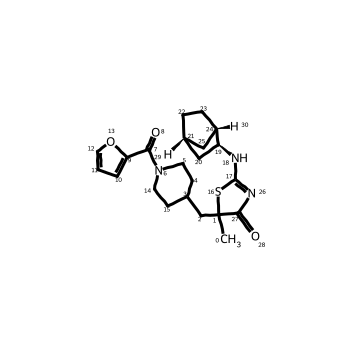 CC1(CC2CCN(C(=O)c3ccco3)CC2)SC(N[C@H]2C[C@@H]3CC[C@H]2C3)=NC1=O